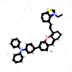 CC[n+]1csc2cccc(/C=C/C3=C4Oc5cc(-c6ccc(N(c7ccccc7)c7ccccc7)cc6)ccc5C=C4CCC3)c21.[I-]